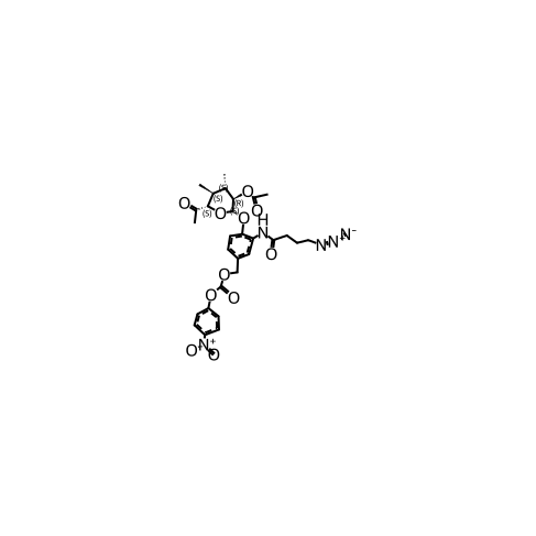 CC(=O)O[C@H]1[C@H](Oc2ccc(COC(=O)Oc3ccc([N+](=O)[O-])cc3)cc2NC(=O)CCCN=[N+]=[N-])O[C@H](C(C)=O)[C@@H](C)[C@@H]1C